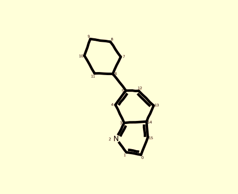 c1cnc2cc([C]3CCCCC3)ccc2c1